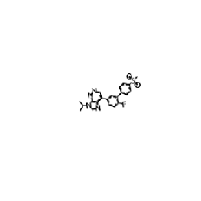 CC(C)n1cnc2c(-c3ccc(F)c(-c4ccc(S(C)(=O)=O)cc4)c3)cnnc21